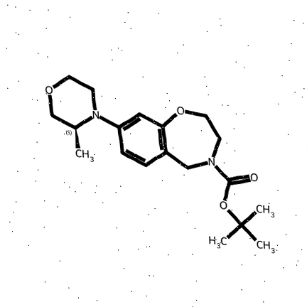 C[C@H]1COCCN1c1ccc2c(c1)OCCN(C(=O)OC(C)(C)C)C2